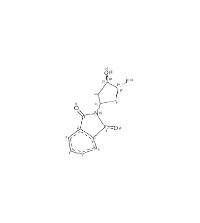 O=C1c2ccccc2C(=O)N1C1C[C@@H](O)[C@H](F)C1